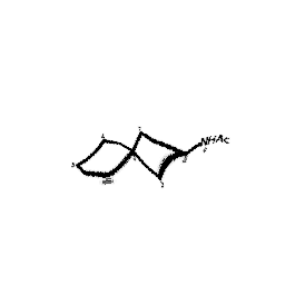 CC(=O)NC1CC2(CCC2)C1